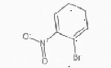 O=[N+]([O-])C1=CCCC=C1Br